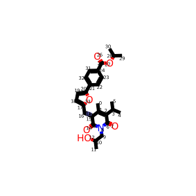 CC1=C(C(C)C)C(=O)N(CC(C)O)C(=O)/C1=C/c1ccc(-c2ccc(C(=O)OC(C)C)cc2)o1